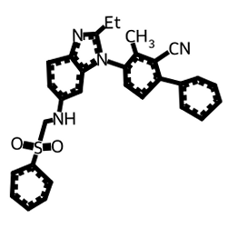 CCc1nc2ccc(NCS(=O)(=O)c3ccccc3)cc2n1-c1ccc(-c2ccccc2)c(C#N)c1C